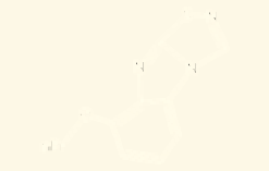 CCCOc1cccc2c1nc1sncn12